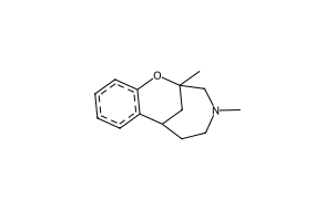 CN1CCC2CC(C)(C1)Oc1ccccc12